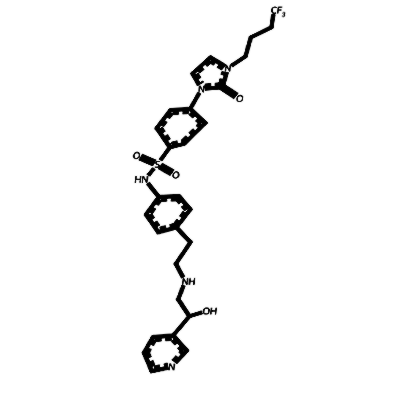 O=c1n(CCCC(F)(F)F)ccn1-c1ccc(S(=O)(=O)Nc2ccc(CCNCC(O)c3cccnc3)cc2)cc1